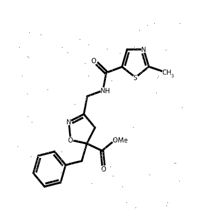 COC(=O)C1(Cc2ccccc2)CC(CNC(=O)c2cnc(C)s2)=NO1